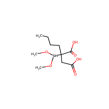 CCCCC(CC(=O)O)(C(=O)O)[SiH](OC)OC